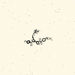 CO[C@H]1CC[C@@H](C(=O)Nc2cc(-c3cc(C#CCOCc4noc(F)n4)nc(Nc4ccc(F)cc4)c3)ccn2)CC1